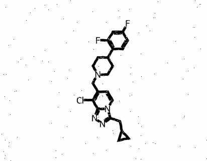 Fc1ccc(C2CCN(Cc3ccn4c(CC5CC5)nnc4c3Cl)CC2)c(F)c1